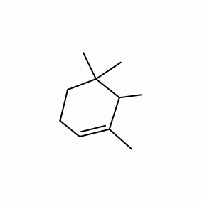 C[C]1C(C)=CCCC1(C)C